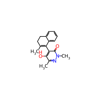 CC1=C(c2c(O)c(C)nn(C)c2=O)c2ccccc2CC1